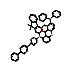 CC1(C)c2ccccc2-c2ccc(N(c3ccc(-c4ccc(-c5ccccc5)cc4)cc3)c3cccc4c3-c3cccc5c(N(c6ccccc6)c6ccccc6)ccc(c35)O4)cc21